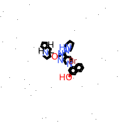 Oc1cc(N2CCc3c(nc(OC[C@@]45CCCN4[C@H]4CCC[C@H]4C5)nc3N3CC4CCC(C3)N4)C2)c2c(Br)cccc2c1